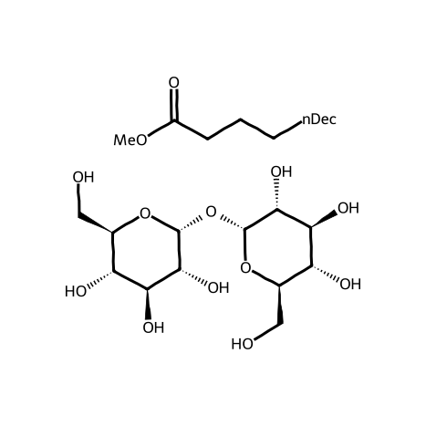 CCCCCCCCCCCCCC(=O)OC.OC[C@H]1O[C@H](O[C@H]2O[C@H](CO)[C@@H](O)[C@H](O)[C@H]2O)[C@H](O)[C@@H](O)[C@@H]1O